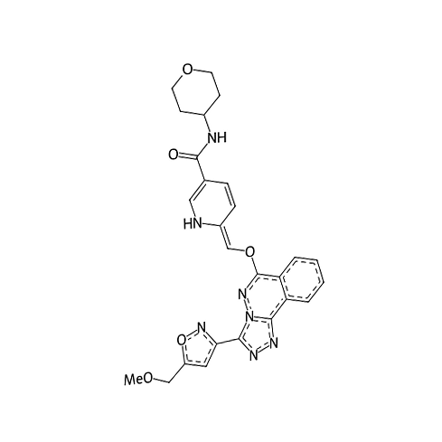 COCc1cc(-c2nnc3c4ccccc4c(OC=C4C=CC(C(=O)NC5CCOCC5)=CN4)nn23)no1